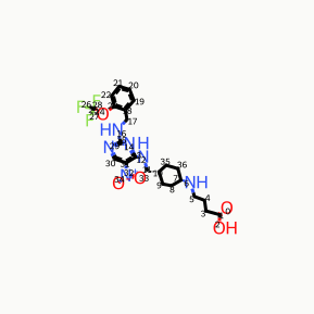 O=C(O)CCCN[C@H]1CC[C@H](CNc2nc(NCc3ccccc3OC(F)(F)F)ncc2[N+](=O)[O-])CC1